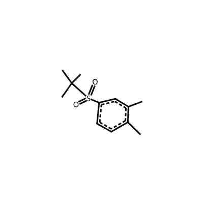 Cc1ccc(S(=O)(=O)C(C)(C)C)cc1C